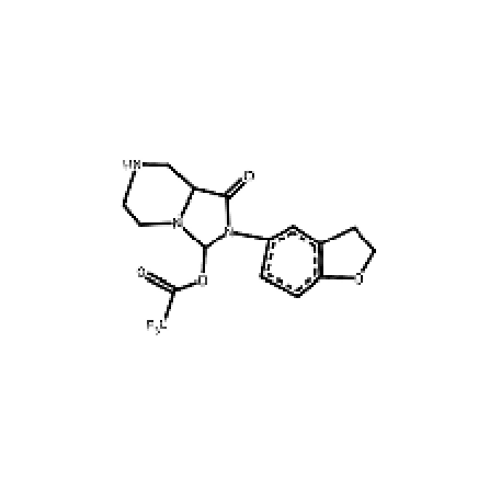 O=C1C2CNCCN2C(OC(=O)C(F)(F)F)N1c1ccc2c(c1)CCO2